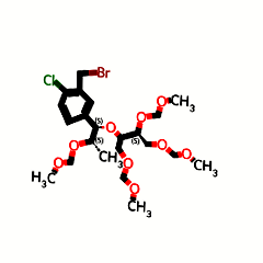 COCOCC(O[C@@H](c1ccc(Cl)c(CBr)c1)[C@H](C)OCOC)[C@H](COCOC)OCOC